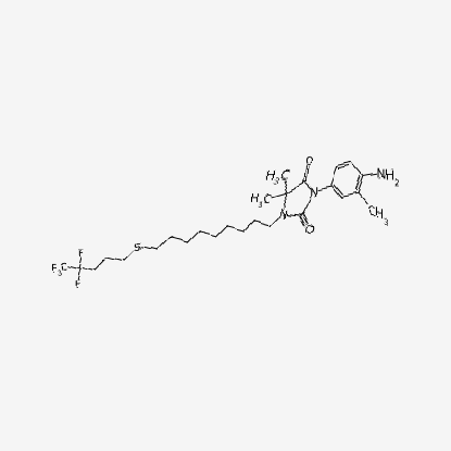 Cc1cc(N2C(=O)N(CCCCCCCCCSCCCC(F)(F)C(F)(F)F)C(C)(C)C2=O)ccc1N